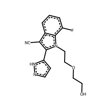 N#Cc1c(-c2ccn[nH]2)n(CCOCCO)c2c(F)cccc12